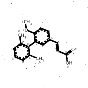 COc1ccc(/C=C/C(=O)O)cc1-c1c(C)cccc1C